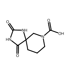 O=C1NC(=O)C2(CCCN(C(=O)O)C2)N1